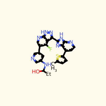 CCC(O)Nc1cncc(-c2cnc3[nH]nc(-c4nc5c(-c6ccc(C)s6)ccnc5[nH]4)c3c2F)c1